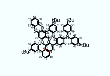 Cc1cc2c3c(c1)N(c1ccc(C(C)(C)C)cc1-c1ccccc1)c1cc4c(cc1B3N(c1ccc(C(C)(C)C)cc1C)c1cc(N(c3ccc(C(C)(C)C)cc3)c3ccc(C(C)(C)C)cc3)ccc1-2)Sc1ccccc1S4